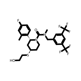 Cc1cc(F)ccc1[C@H]1C[C@@H](SCCO)CCN1C(=O)N(C)Cc1cc(C(F)(F)F)cc(C(F)(F)F)c1